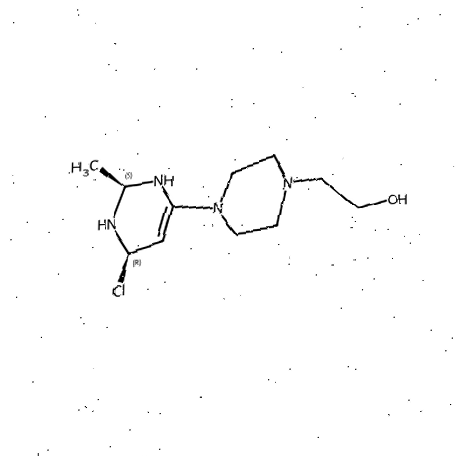 C[C@H]1NC(N2CCN(CCO)CC2)=C[C@@H](Cl)N1